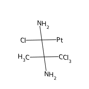 CC(N)(C(Cl)(Cl)Cl)[C](N)(Cl)[Pt]